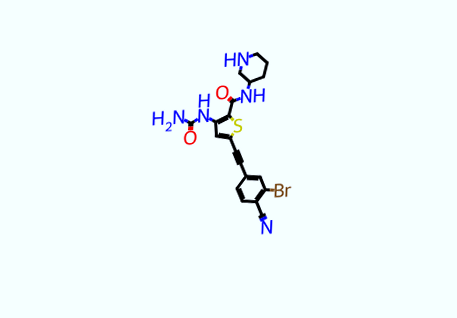 N#Cc1ccc(C#Cc2cc(NC(N)=O)c(C(=O)NC3CCCNC3)s2)cc1Br